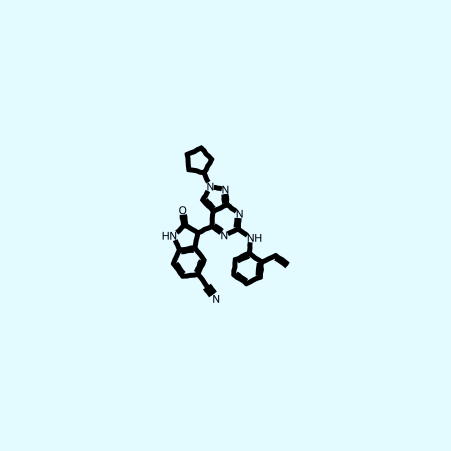 C=Cc1ccccc1Nc1nc(C2C(=O)Nc3ccc(C#N)cc32)c2cn(C3CCCC3)nc2n1